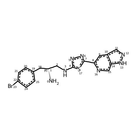 N[C@@H](CNc1nnc(-c2cc3cn[nH]c3cn2)s1)Cc1ccc(Br)cc1